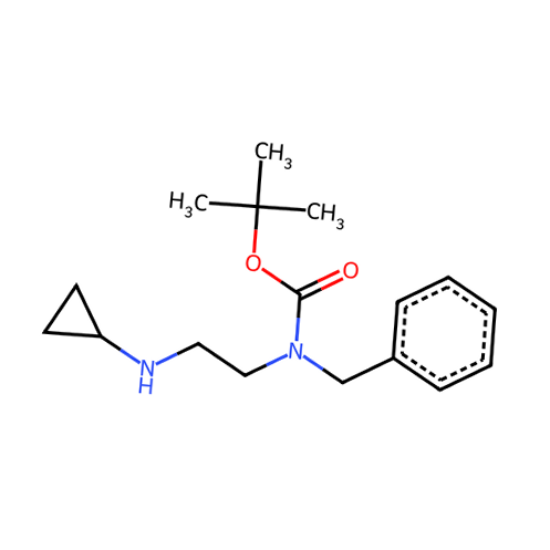 CC(C)(C)OC(=O)N(CCNC1CC1)Cc1ccccc1